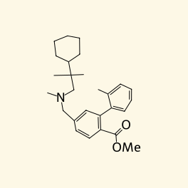 COC(=O)c1ccc(CN(C)CC(C)(C)C2CCCCC2)cc1-c1ccccc1C